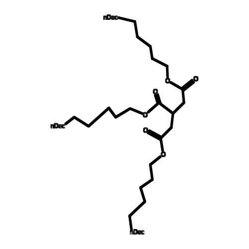 CCCCCCCCCCCCCCCOC(=O)CC(CC(=O)OCCCCCCCCCCCCCCC)C(=O)OCCCCCCCCCCCCCCC